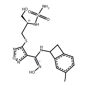 NS(=O)(=O)N[C@H](CO)CSc1nonc1/C(=N\O)NC1Cc2ccc(F)cc21